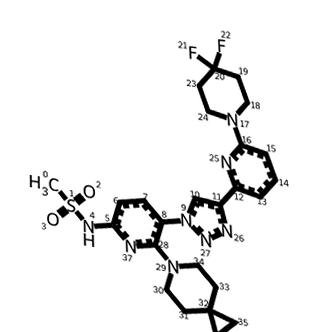 CS(=O)(=O)Nc1ccc(-n2cc(-c3cccc(N4CCC(F)(F)CC4)n3)nn2)c(N2CCC3(CC2)CC3)n1